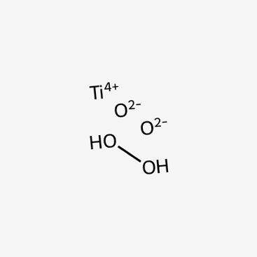 OO.[O-2].[O-2].[Ti+4]